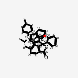 CCN(c1ccc(C)cc1)N(c1ccccc1)c1c(C)ccc2c1C1(OC2=O)c2ccccc2Oc2ccccc21